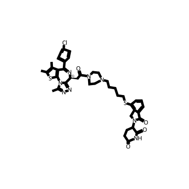 Cc1sc2c(c1C)C(c1ccc(Cl)cc1)=N[C@@H](CC(=O)N1CCN(CCCCCSc3cccc4c3CN(C3CCC(=O)NC3=O)C4=O)CC1)c1nnc(C)n1-2